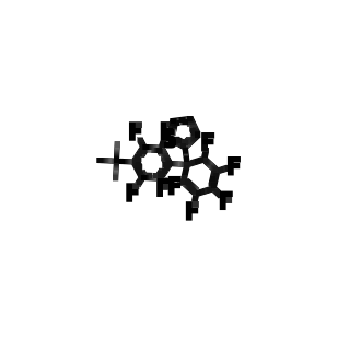 CC(C)(C)c1c(F)c(F)c(C2(c3cccs3)C(F)=C(F)C(F)=C(F)C2F)c(F)c1F